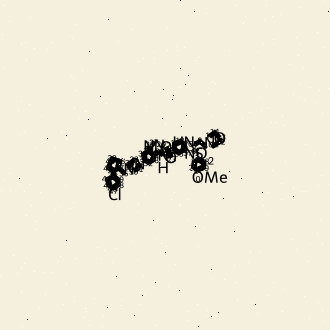 COc1ccc(SC[C@@H](CCN2CCOCC2)Nc2ccc(S(=O)(=O)Nc3ncnc4cc(N5CCN(Cc6ccccc6-c6ccc(Cl)cc6)CC5)ccc34)cc2[N+](=O)[O-])cc1